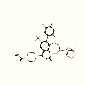 C=CC(=O)N1CCN(c2nc(=O)n3c4c(c(-c5cc(Cl)c(F)cc5F)c(C(F)(F)F)cc24)SCC(N2C[C@@H]4C[C@H]2CO4)C3)CC1